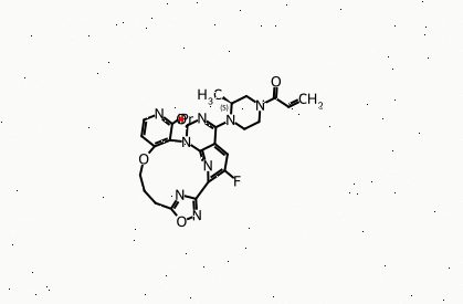 C=CC(=O)N1CCN(c2nc(=O)n3c4nc(c(F)cc24)-c2noc(n2)CCCOc2ccnc(C(C)C)c2-3)[C@@H](C)C1